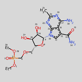 CCOP(=O)(COC[C@H]1O[C@@H](n2cc(C(N)=O)c3c(N)nc(C)nc32)[C@H](O)[C@@H]1O)OCC